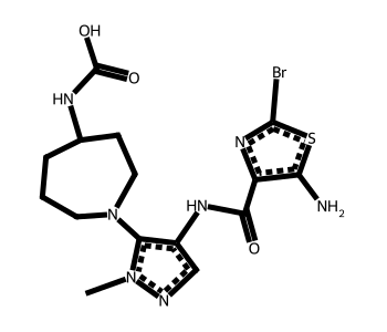 Cn1ncc(NC(=O)c2nc(Br)sc2N)c1N1CCCC(NC(=O)O)CC1